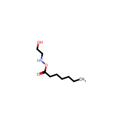 CCCCCCC(=O)ONCCO